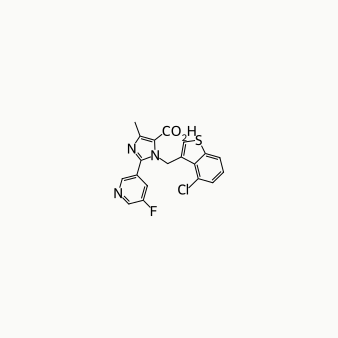 Cc1nc(-c2cncc(F)c2)n(Cc2csc3cccc(Cl)c23)c1C(=O)O